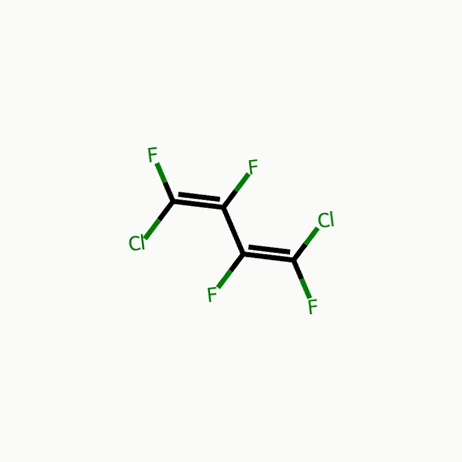 FC(Cl)=C(F)C(F)=C(F)Cl